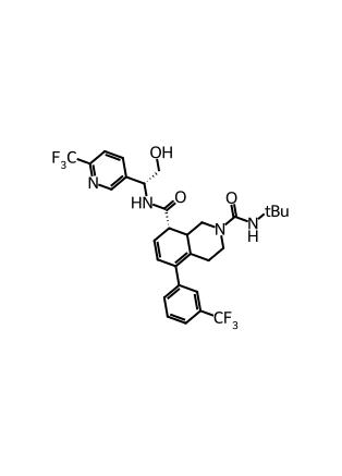 CC(C)(C)NC(=O)N1CCC2=C(c3cccc(C(F)(F)F)c3)C=C[C@H](C(=O)N[C@@H](CO)c3ccc(C(F)(F)F)nc3)C2C1